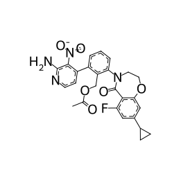 CC(=O)OCc1c(-c2ccnc(N)c2[N+](=O)[O-])cccc1N1CCOc2cc(C3CC3)cc(F)c2C1=O